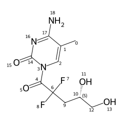 Cc1cn(C(=O)C(F)(F)C[C@H](O)CO)c(=O)nc1N